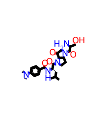 CC(C)C[C@H](NC(=O)c1ccc(N(C)C)cc1)C(=O)N1CCC2C1C(=O)CN2C(=O)[C@@H](N)CO